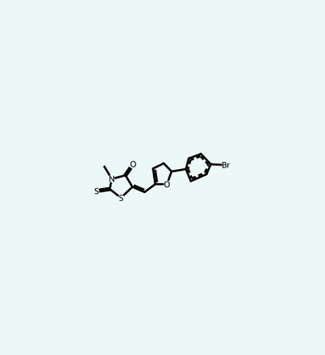 CN1C(=O)/C(=C\C2=CCC(c3ccc(Br)cc3)O2)SC1=S